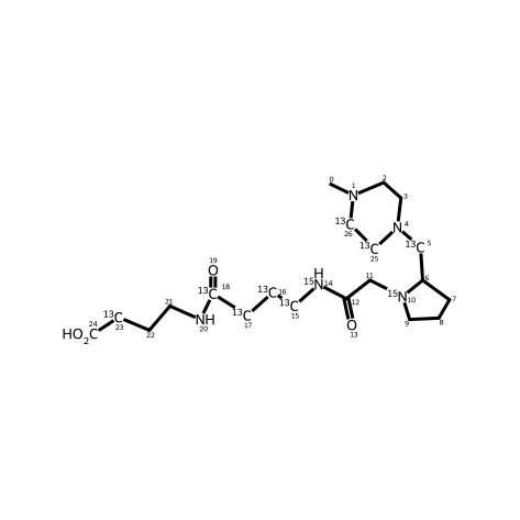 CN1CCN([13CH2]C2CCC[15N]2CC(=O)[15NH][13CH2][13CH2][13CH2][13C](=O)NCC[13CH2][13C](=O)O)[13CH2][13CH2]1